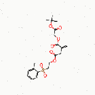 C=C(CC(=O)OCCS(=O)(=O)c1ccccc1C)C(=O)OCC(=O)OC(C)(C)C